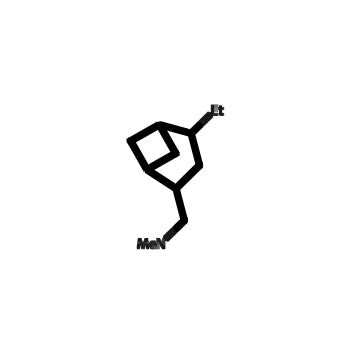 CCC1CC(CNC)C2CC1C2